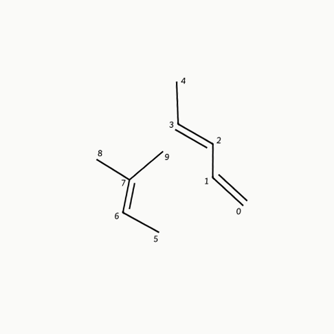 C=CC=CC.CC=C(C)C